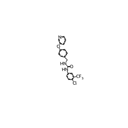 O=C(NCc1ccc(Oc2cccnc2)cc1)Nc1ccc(Cl)c(C(F)(F)F)c1